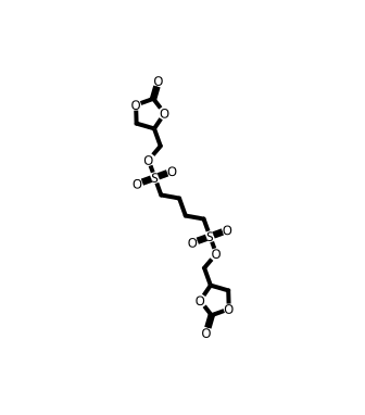 O=C1OCC(COS(=O)(=O)CCCCS(=O)(=O)OCC2COC(=O)O2)O1